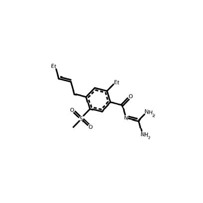 CC/C=C/Cc1cc(CC)c(C(=O)N=C(N)N)cc1S(C)(=O)=O